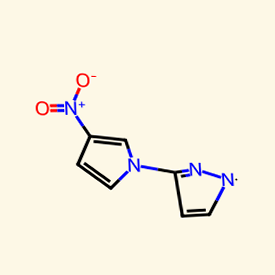 O=[N+]([O-])c1ccn(C2=N[N]C=C2)c1